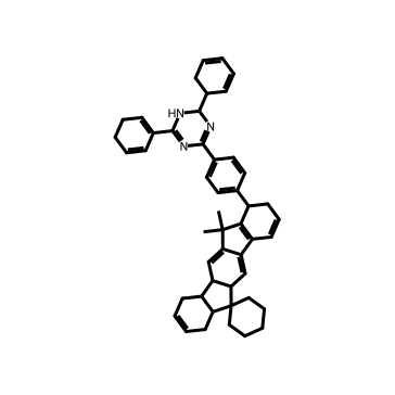 CC1(C)C2=CC3C4CC=CCC4C4(CCCCC4)C3C=C2C2=C1C(c1ccc(C3=NC(C4C=CC=CC4)NC(C4=CCCC=C4)=N3)cc1)CC=C2